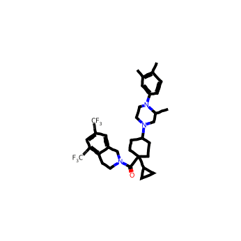 Cc1ccc(N2CCN(C3CCC(C(=O)N4CCc5c(cc(C(F)(F)F)cc5C(F)(F)F)C4)(C4CC4)CC3)CC2C)cc1C